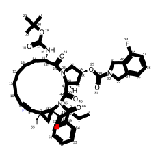 CCOC(=O)[C@@]12C[C@H]1/C=C\CCCCC[C@H](NC(=O)OC(C)(C)C)C(=O)N1C[C@H](OC(=O)N3Cc4cccc(F)c4C3)C[C@H]1C(=O)N2C(=O)c1ccccc1